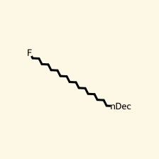 CCCCCCCCCCCCCCCCCCCCCCCCCCCF